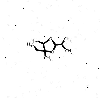 CCC1(C)OC(C(C)C)OC1O